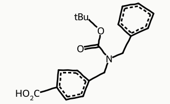 CC(C)(C)OC(=O)N(Cc1ccccc1)Cc1ccc(C(=O)O)cc1